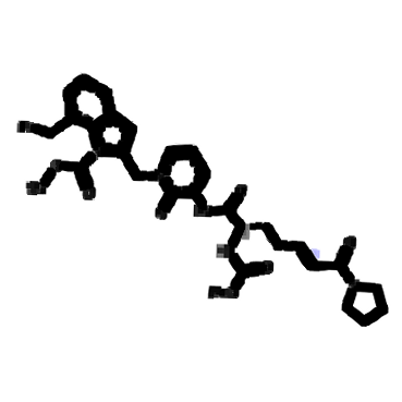 COC(=O)N[C@@H](CC/C=C/C(=O)N1CCCC1)C(=O)Nc1cccn(Cc2cc3cccc(CC(C)C)c3n2C(=O)OC(C)(C)C)c1=O